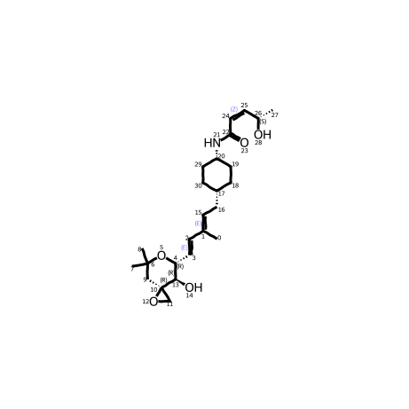 CC(/C=C/[C@H]1OC(C)(C)C[C@@]2(CO2)[C@@H]1O)=C\C[C@H]1CC[C@@H](NC(=O)/C=C\[C@H](C)O)CC1